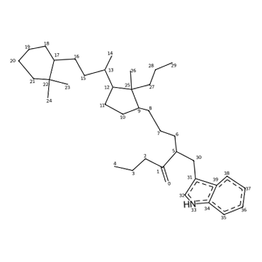 C=C(CCC)C(CCCC1CCC(C(C)CCC2CCCCC2(C)C)C1(C)CCC)Cc1c[nH]c2ccccc12